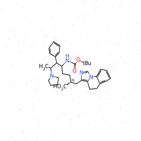 CC(C(c1ccccc1)C(CC[C@@H](Cc1ncn2c1CCc1ccccc1-2)C(=O)O)NC(=O)OC(C)(C)C)N1CCCC1